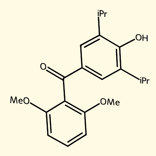 COc1cccc(OC)c1C(=O)c1cc(C(C)C)c(O)c(C(C)C)c1